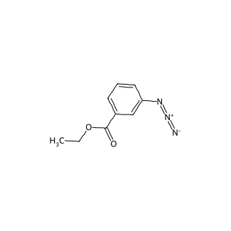 CCOC(=O)c1cccc(N=[N+]=[N-])c1